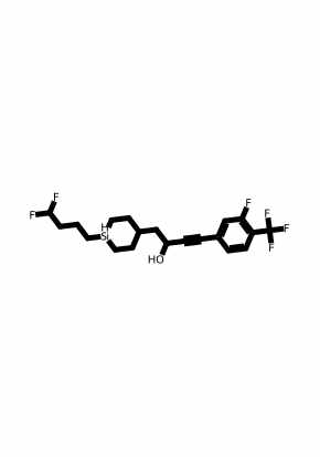 OC(C#Cc1ccc(C(F)(F)F)c(F)c1)CC1CC[SiH](CCCC(F)F)CC1